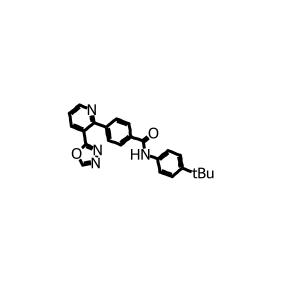 CC(C)(C)c1ccc(NC(=O)c2ccc(-c3ncccc3-c3nnco3)cc2)cc1